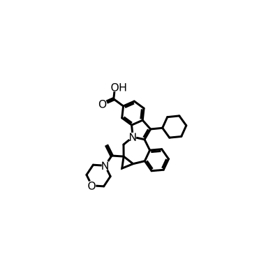 C=C(N1CCOCC1)C12CC1c1ccccc1-c1c(C3CCCCC3)c3ccc(C(=O)O)cc3n1C2